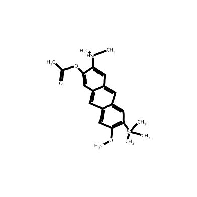 COc1cc2cc3cc(OC(C)=O)c([SiH](C)C)cc3cc2cc1[Si](C)(C)C